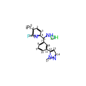 CC(C)c1ccc(C(N)c2cccc(-c3ccnn3C)c2)nc1F.Cl